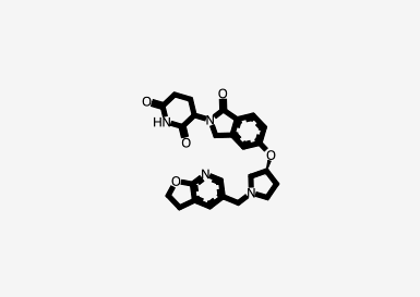 O=C1CCC(N2Cc3cc(O[C@H]4CCN(Cc5cnc6c(c5)CCO6)C4)ccc3C2=O)C(=O)N1